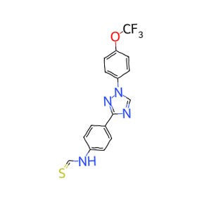 FC(F)(F)Oc1ccc(-n2cnc(-c3ccc(NC=S)cc3)n2)cc1